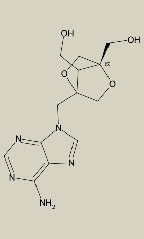 Nc1ncnc2c1ncn2CC12CO[C@@](CO)(CO1)C2CO